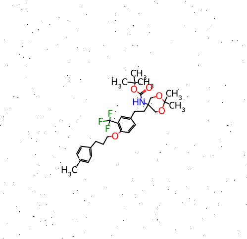 Cc1ccc(CCCOc2ccc(CCC3(NC(=O)OC(C)(C)C)COC(C)(C)OC3)cc2C(F)(F)F)cc1